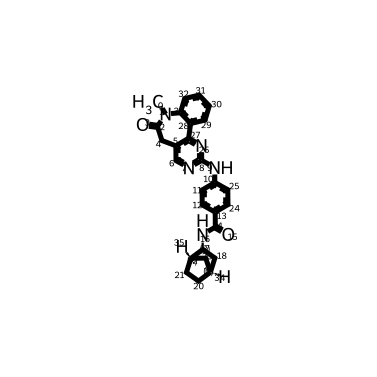 CN1C(=O)Cc2cnc(Nc3ccc(C(=O)N[C@@H]4C[C@H]5CC[C@@H]4C5)cc3)nc2-c2ccccc21